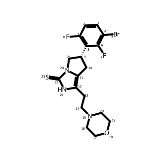 Fc1ccc(Br)c(F)c1[C@@H]1Cc2c(CCN3CCOCC3)[nH]c(=S)n2C1